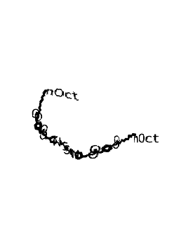 CCCCCCCC/C=C\CCCCCCCC(=O)OCc1ccc(CC(=O)OCCC2CCN(CCSSCCN3CCC(CCOC(=O)Cc4ccc(COC(=O)CCCCCCC/C=C\CCCCCCCC)cc4)CC3)CC2)cc1